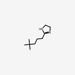 CC(C)(C)CCCC1=NCCN1